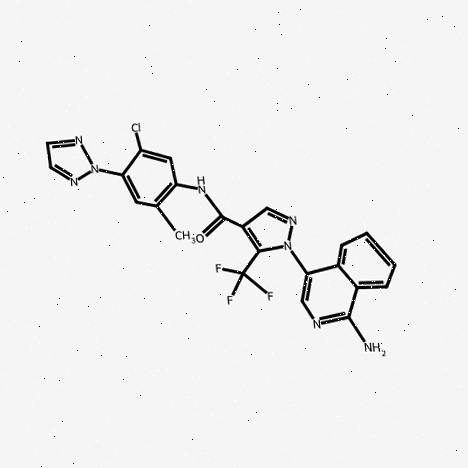 Cc1cc(-n2nccn2)c(Cl)cc1NC(=O)c1cnn(-c2cnc(N)c3ccccc23)c1C(F)(F)F